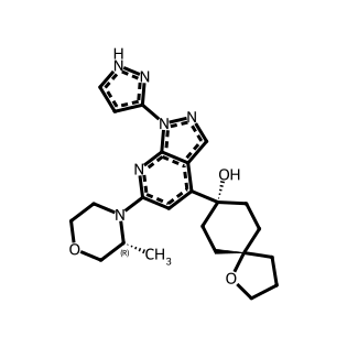 C[C@@H]1COCCN1c1cc([C@]2(O)CC[C@]3(CCCO3)CC2)c2cnn(-c3cc[nH]n3)c2n1